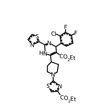 CCOC(=O)C1=C(C2CCN(c3nc(C(=O)OCC)cs3)CC2)NC(c2nccs2)=NC1c1ccc(F)c(F)c1Cl